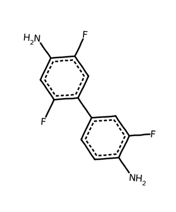 Nc1ccc(-c2cc(F)c(N)cc2F)cc1F